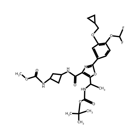 COC(=O)NC1CC(NC(=O)c2nc(-c3ccc(OC(F)F)c(OCC4CC4)c3)oc2C(C)NC(=O)OC(C)(C)C)C1